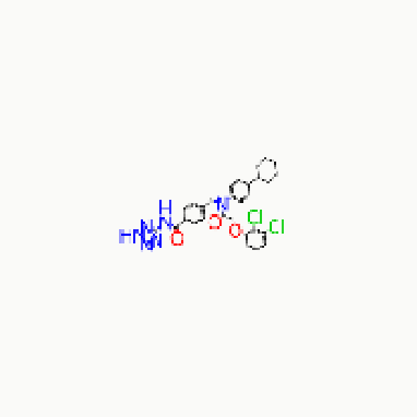 O=C(Nc1nn[nH]n1)c1ccc(CN(C(=O)COc2cccc(Cl)c2Cl)c2ccc(C3CCCCC3)cc2)cc1